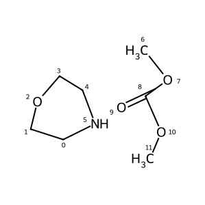 C1COCCN1.COC(=O)OC